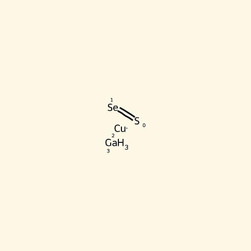 S=[Se].[Cu].[GaH3]